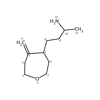 C=C1CCOCCC1CCC(C)N